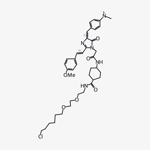 COc1ccc(/C=C/C2=NC(=C/c3ccc(N(C)C)cc3)/C(=O)N2CC(=O)NC2CCC(C(=O)NCCOCCOCCCCCCCl)CC2)cc1